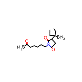 BC(=O)CCCCCN1C(=O)CC(C(B)(CC)CC)C1=O